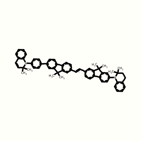 CC1(C)c2cc(/C=C/c3ccc4c(c3)C(C)(C)c3cc(N5c6ccccc6CCC5(C)C)ccc3-4)ccc2-c2ccc(-c3ccc(N4c5ccccc5C=CC4(C)C)cc3)cc21